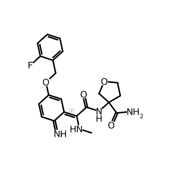 CN/C(C(=O)NC1(C(N)=O)CCOC1)=C1/C=C(OCc2ccccc2F)C=CC1=N